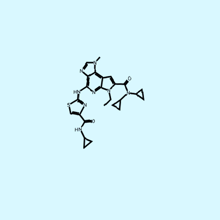 CCn1c(C(=O)N(C2CC2)C2CC2)cc2c3c(ncn3C)c(Nc3nc(C(=O)NC4CC4)cs3)nc21